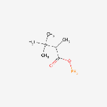 CC(C(=O)OP)C(C)(C)C